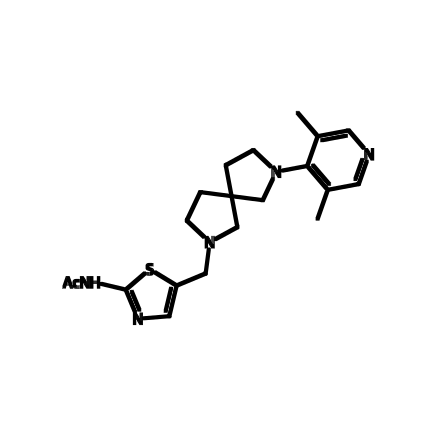 CC(=O)Nc1ncc(CN2CCC3(CCN(c4c(C)cncc4C)C3)C2)s1